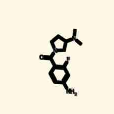 CN(C)C1CCN(C(=O)c2ccc(N)cc2F)C1